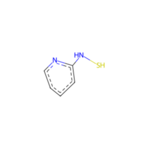 SNc1ccccn1